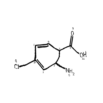 NC1C=C(Cl)C=CC1C(=O)O